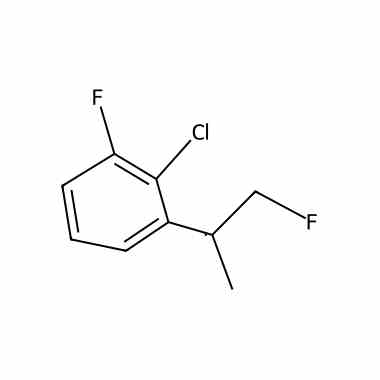 C[C](CF)c1cccc(F)c1Cl